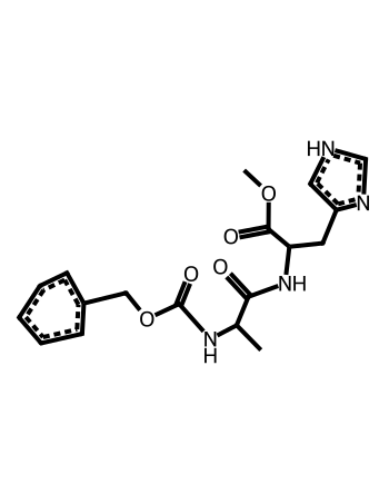 COC(=O)C(Cc1c[nH]cn1)NC(=O)C(C)NC(=O)OCc1ccccc1